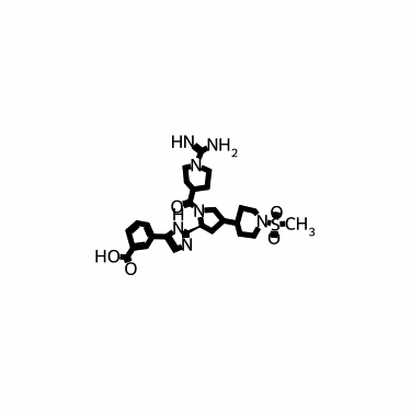 CS(=O)(=O)N1CCC(C2C[C@@H](c3ncc(-c4cccc(C(=O)O)c4)[nH]3)N(C(=O)C3CCN(C(=N)N)CC3)C2)CC1